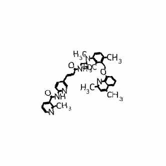 Cc1cc(C)c2cccc(OCc3c(C)ccc(N(C)C(=O)CNC(=O)C=Cc4ccc(NC(=O)c5cccnc5C)nc4)c3C)c2n1